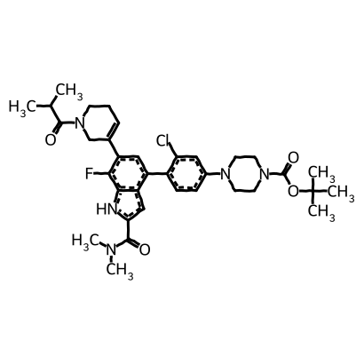 CC(C)C(=O)N1CCC=C(c2cc(-c3ccc(N4CCN(C(=O)OC(C)(C)C)CC4)cc3Cl)c3cc(C(=O)N(C)C)[nH]c3c2F)C1